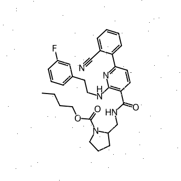 CCCCOC(=O)N1CCCC1CNC(=O)c1ccc(-c2ccccc2C#N)nc1NCCc1cccc(F)c1